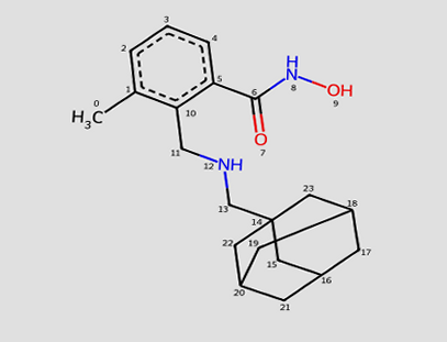 Cc1cccc(C(=O)NO)c1CNCC12CC3CC(CC(C3)C1)C2